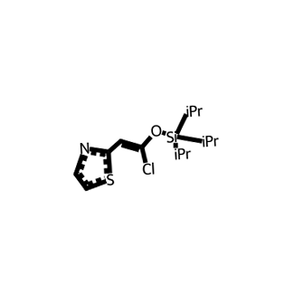 CC(C)[Si](OC(Cl)=Cc1nccs1)(C(C)C)C(C)C